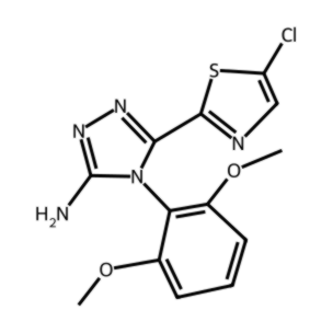 COc1cccc(OC)c1-n1c(N)nnc1-c1ncc(Cl)s1